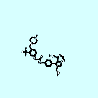 COCc1cn2ncnc(N)c2c1-c1ccc(NC(=O)Nc2ccc(CN3CCN(C)CC3)c(C(F)(F)F)c2)cc1